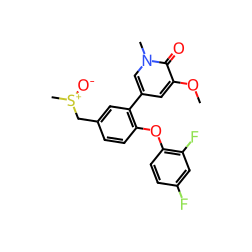 COc1cc(-c2cc(C[S+](C)[O-])ccc2Oc2ccc(F)cc2F)cn(C)c1=O